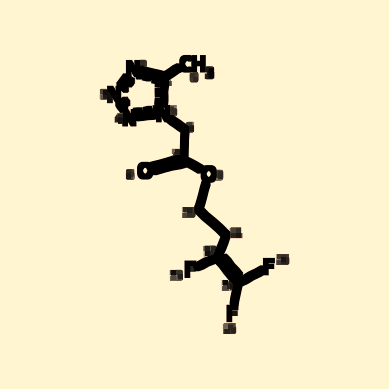 Cc1nnnn1CC(=O)OCCC(F)=C(F)F